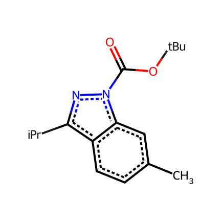 Cc1ccc2c(C(C)C)nn(C(=O)OC(C)(C)C)c2c1